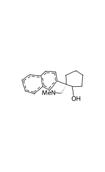 CNC[C@]1(c2ccc3ccccc3c2)CCCCC1O